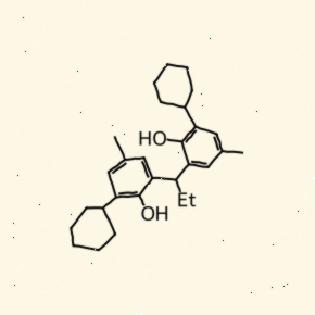 CCC(c1cc(C)cc(C2CCCCC2)c1O)c1cc(C)cc(C2CCCCC2)c1O